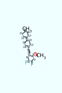 COc1cc(F)c(F)cc1C#Cc1ccc(-c2ccc(C)cc2)cc1